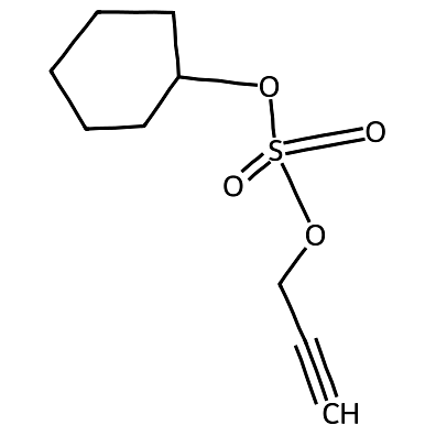 C#CCOS(=O)(=O)OC1CCCCC1